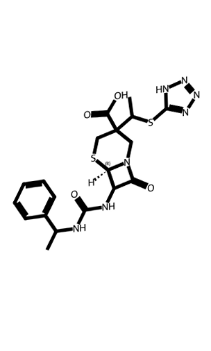 CC(NC(=O)NC1C(=O)N2CC(C(=O)O)(C(C)Sc3nnn[nH]3)CS[C@H]12)c1ccccc1